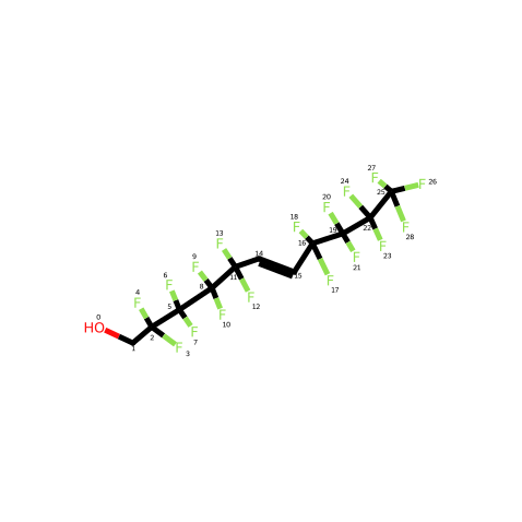 OCC(F)(F)C(F)(F)C(F)(F)C(F)(F)C=CC(F)(F)C(F)(F)C(F)(F)C(F)(F)F